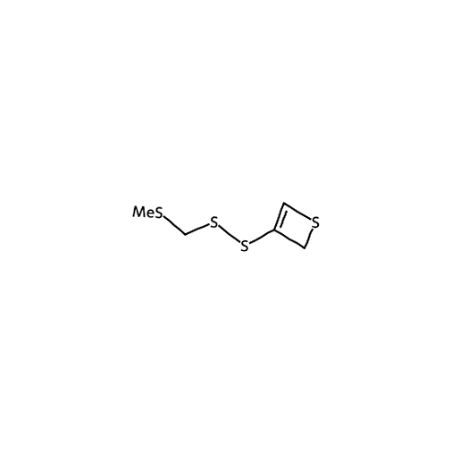 CSCSSC1=CSC1